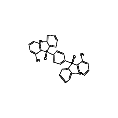 CC(C)c1ccccc1P(=O)(c1ccc(P(=O)(c2ccccc2C(C)C)c2ccccc2C(C)C)cc1)c1ccccc1C(C)C